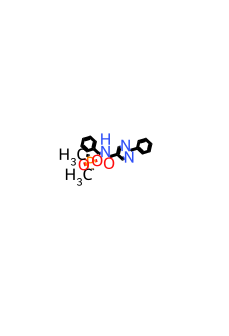 CCP(=O)(CC)OC(NC(=O)c1cnc(-c2ccccc2)nc1)c1ccccc1